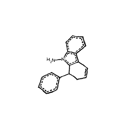 Nn1c2c(c3ccccc31)C=CCC2c1ccccc1